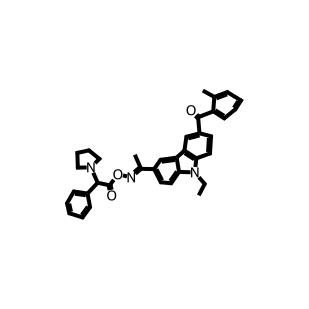 CCn1c2ccc(C(=O)c3ccccc3C)cc2c2cc(/C(C)=N/OC(=O)C(c3ccccc3)N3CCCC3)ccc21